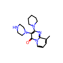 Cc1cccn2c(=O)c(N3CCNCC3)c(N3CCCCC3)nc12